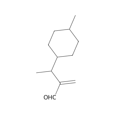 C=C(C=O)C(C)C1CCC(C)CC1